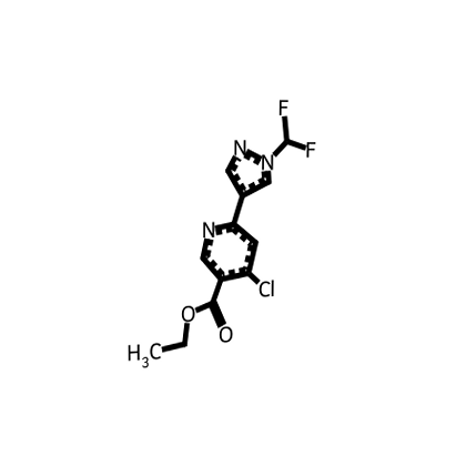 CCOC(=O)c1cnc(-c2cnn(C(F)F)c2)cc1Cl